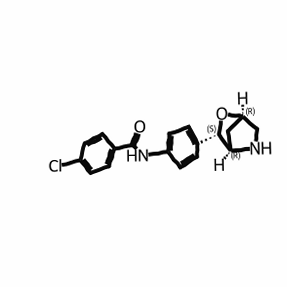 O=C(Nc1ccc([C@@H]2O[C@H]3CN[C@@H]2C3)cc1)c1ccc(Cl)cc1